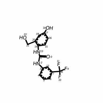 O=C(Nc1cccc(C(F)(F)F)c1)Nc1ccc(O)cc1CO